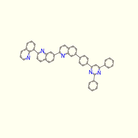 c1ccc(-c2cc(-c3ccc(-c4ccc5ccc(-c6ccc7ccc(-c8cccc9cccnc89)nc7c6)nc5c4)cc3)nc(-c3ccccc3)n2)cc1